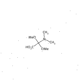 COC(OC)(C(=O)O)N(C)C